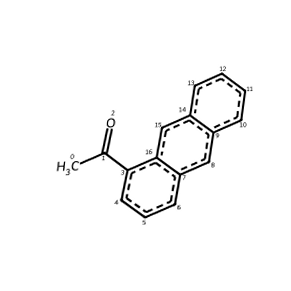 CC(=O)c1cccc2cc3ccccc3cc12